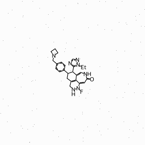 CCn1ncnc1C1C2=CNC(=O)C=C3C2=C(CNN3F)CC1c1ccc(CN2CCC2)cc1